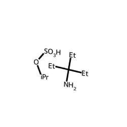 CC(C)OS(=O)(=O)O.CCC(N)(CC)CC